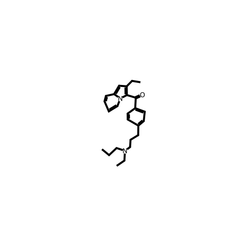 CCCN(CC)CCCc1ccc(C(=O)c2c(CC)cc3ccccn23)cc1